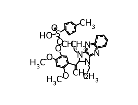 C=C(c1cc(OC)c(OC)cc1OC)C1N(CC)c2nc3ccccc3nc2N1CC.Cc1ccc(S(=O)(=O)O)cc1